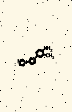 Cc1cc(-n2ccc(-n3ccnc3)c2)ccc1N